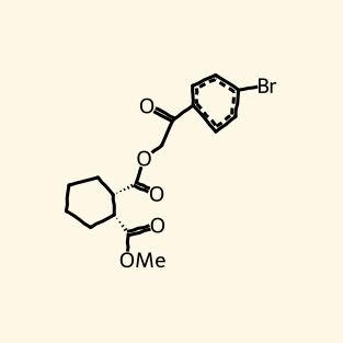 COC(=O)[C@@H]1CCCC[C@@H]1C(=O)OCC(=O)c1ccc(Br)cc1